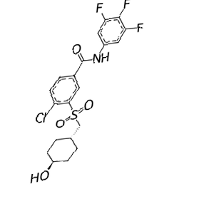 O=C(Nc1cc(F)c(F)c(F)c1)c1ccc(Cl)c(S(=O)(=O)C[C@H]2CC[C@H](O)CC2)c1